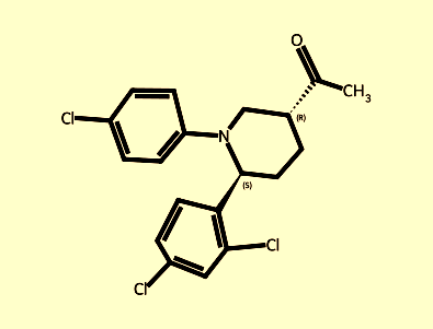 CC(=O)[C@@H]1CC[C@@H](c2ccc(Cl)cc2Cl)N(c2ccc(Cl)cc2)C1